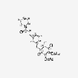 COC1=C(OC)C(=O)C(Cc2cccc(CCC(=O)N3CCSCC3)c2)=C(C)C1=O